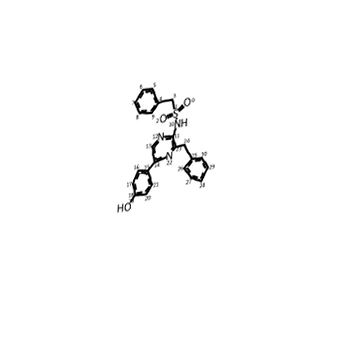 O=S(=O)(Cc1ccccc1)Nc1ncc(-c2ccc(O)cc2)nc1Cc1ccccc1